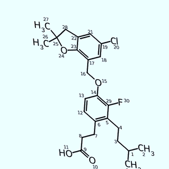 CC(C)CCc1c(CCC(=O)O)ccc(OCc2cc(Cl)cc3c2OC(C)(C)C3)c1F